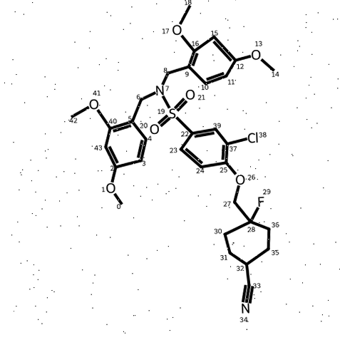 COc1ccc(CN(Cc2ccc(OC)cc2OC)S(=O)(=O)c2ccc(OCC3(F)CCC(C#N)CC3)c(Cl)c2)c(OC)c1